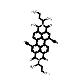 CCCC(C)N1C(=O)c2ccc3c4c(C#N)cc5c6c(ccc(c7c(C#N)cc(c2c37)C1=O)c64)C(O)N(C(C)CCC)C5=O